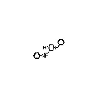 c1ccc(CN2CCN[C@H](CCNc3ccccc3)C2)cc1